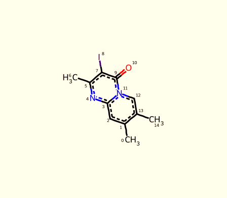 Cc1cc2nc(C)c(I)c(=O)n2cc1C